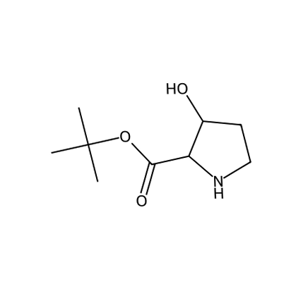 CC(C)(C)OC(=O)C1NCCC1O